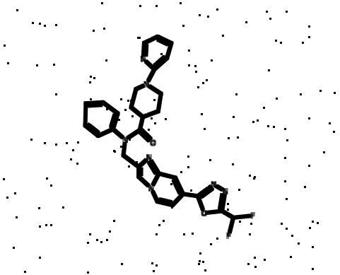 O=C(C1CCN(c2ccccn2)CC1)N(Cc1cn2ccc(-c3nnc(C(F)F)o3)cc2n1)c1ccccc1